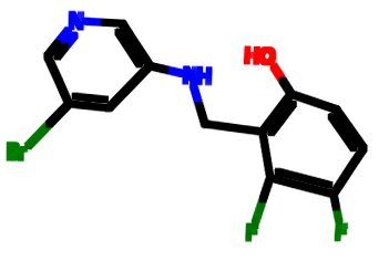 Oc1ccc(F)c(F)c1CNc1cncc(Br)c1